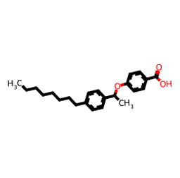 CCCCCCCCc1ccc(C(C)Oc2ccc(C(=O)O)cc2)cc1